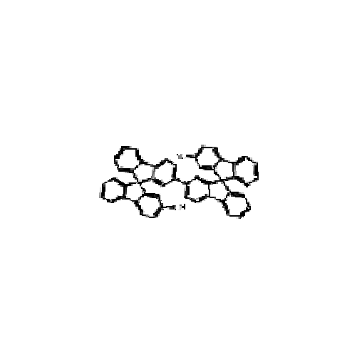 N#Cc1ccc2c(c1)C1(c3ccccc3-2)c2ccccc2-c2ccc(-c3ccc4c(c3)C3(c5ccccc5-c5ccc(C#N)cc53)c3ccccc3-4)cc21